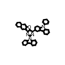 c1ccc(-n2c3ccccc3c3cc(-c4nc(-n5c6ccccc6c6ccccc65)nc5c4oc4cc6ccccc6cc45)ccc32)cc1